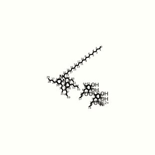 CCCCCCCCCCCCCCCCCCCCCC(=Nc1cc(CCCC)cc(CCCC)c1)C(CCCC)=Nc1cc(CCCC)cc(CCCC)c1.CCCCCc1c(C)cc(O)c(O)c1C(=O)[O-].CCCCCc1c(C)cc(O)c(O)c1C(=O)[O-].[Ni+2]